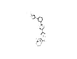 CN1C2CCC[C@H]1C[C@H](n1cc(-c3cnc(-c4cccc(-c5cnn(C)c5)c4)nc3)cn1)C2F